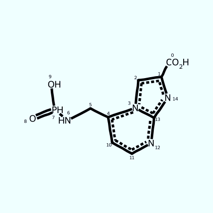 O=C(O)c1cn2c(CN[PH](=O)O)ccnc2n1